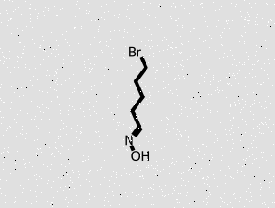 ON=CCCCCBr